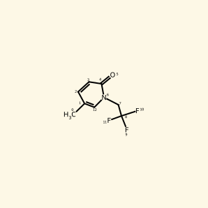 Cc1ccc(=O)n(CC(F)(F)F)c1